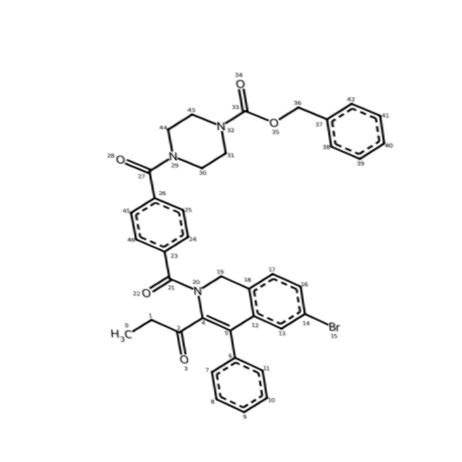 CCC(=O)C1=C(c2ccccc2)c2cc(Br)ccc2CN1C(=O)c1ccc(C(=O)N2CCN(C(=O)OCc3ccccc3)CC2)cc1